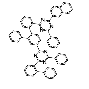 c1ccc(-c2nc(-c3ccc(-c4ccccc4-c4nc(-c5ccccc5)nc(-c5ccc6ccccc6c5)n4)c(-c4ccccc4)c3)nc(-c3ccccc3-c3ccccc3)n2)cc1